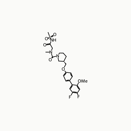 COc1cc(F)c(F)cc1-c1ccc(OC[C@@H]2CCCN(C(=O)N(C)CC(=O)NS(C)(=O)=O)C2)cc1